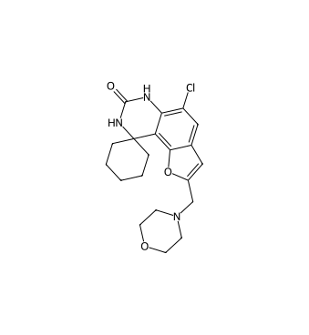 O=C1Nc2c(Cl)cc3cc(CN4CCOCC4)oc3c2C2(CCCCC2)N1